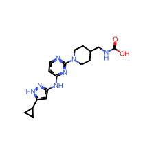 O=C(O)NCC1CCN(c2nccc(Nc3cc(C4CC4)[nH]n3)n2)CC1